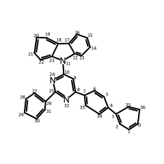 c1ccc(-c2ccc(-c3cc(-n4c5ccccc5c5ccccc54)nc(-c4ccccc4)n3)cc2)cc1